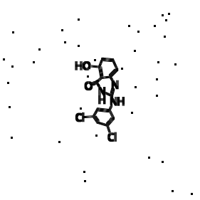 O=c1[nH]c(Nc2cc(Cl)cc(Cl)c2)nc2cccc(O)c12